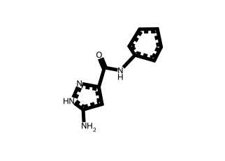 Nc1cc(C(=O)Nc2ccccc2)n[nH]1